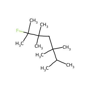 CC(C)C(C)(C)CC(C)(C)C(C)(C)F